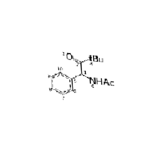 CC(=O)NC(C(=O)C(C)(C)C)c1ccccc1